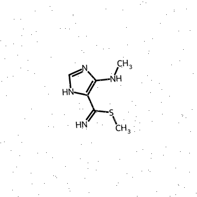 CNc1nc[nH]c1C(=N)SC